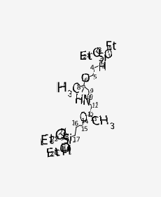 CCO[SiH](CCCOC(C)CNCC(C)OCCC[SiH](OCC)OCC)OCC